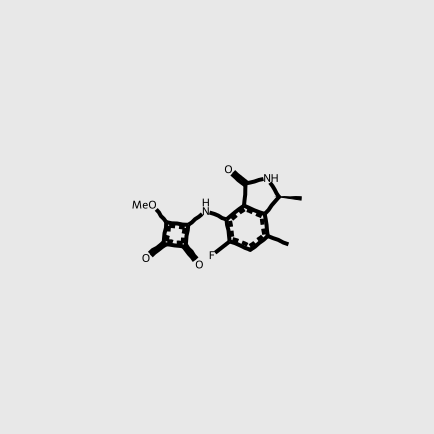 COc1c(Nc2c(F)cc(C)c3c2C(=O)N[C@H]3C)c(=O)c1=O